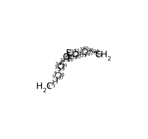 C=CCC[C@H]1CC[C@H](c2ccc(CCOC(F)(F)c3ccc([C@H]4CC[C@H](CCC=C)CC4)cc3)cc2)CC1